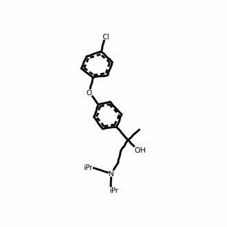 CC(C)N(CCC(C)(O)c1ccc(Oc2ccc(Cl)cc2)cc1)C(C)C